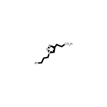 CC(C)CCCn1cc(CCC(=O)O)nn1